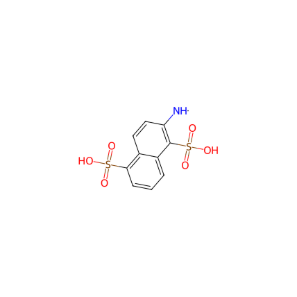 [NH]c1ccc2c(S(=O)(=O)O)cccc2c1S(=O)(=O)O